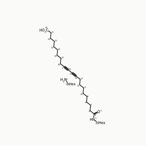 CCCCCCN.CCCCCCNC(=O)CCCCCCCCC#CC#CCCCCCCCCC(=O)O